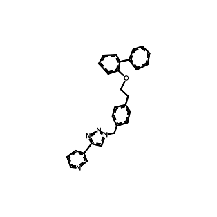 c1ccc(-c2ccccc2OCCc2ccc(Cn3cc(-c4cccnc4)nn3)cc2)cc1